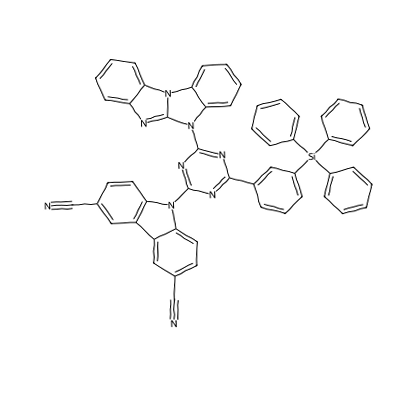 N#Cc1ccc2c(c1)c1cc(C#N)ccc1n2-c1nc(-c2cccc([Si](c3ccccc3)(c3ccccc3)c3ccccc3)c2)nc(-n2c3ccccc3n3c4ccccc4nc23)n1